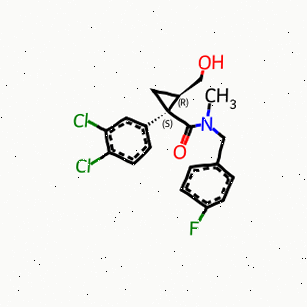 CN(Cc1ccc(F)cc1)C(=O)[C@@]1(c2ccc(Cl)c(Cl)c2)C[C@H]1CO